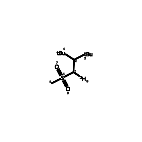 [2H]C(C(C(C)(C)C)C(C)(C)C)S(C)(=O)=O